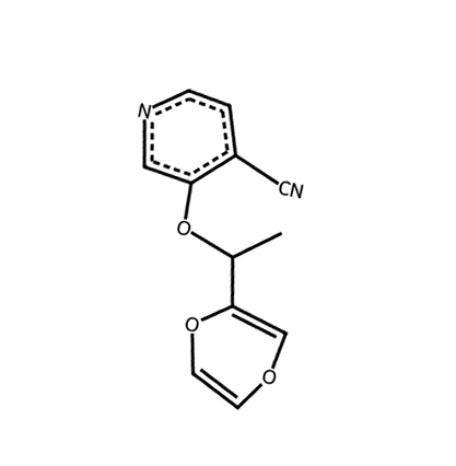 CC(Oc1cnccc1C#N)C1=COC=CO1